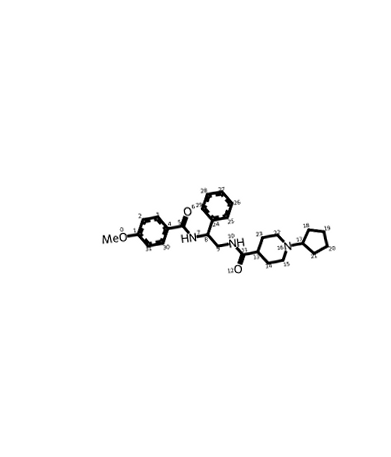 COc1ccc(C(=O)NC(CNC(=O)C2CCN(C3CCCC3)CC2)c2ccccc2)cc1